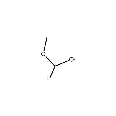 [CH2]C([O])OC